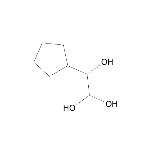 OC(O)[C@@H](O)C1CCCC1